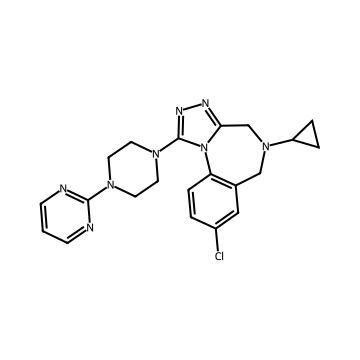 Clc1ccc2c(c1)CN(C1CC1)Cc1nnc(N3CCN(c4ncccn4)CC3)n1-2